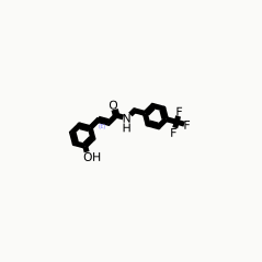 O=C(/C=C/c1cccc(O)c1)NCc1ccc(C(F)(F)F)cc1